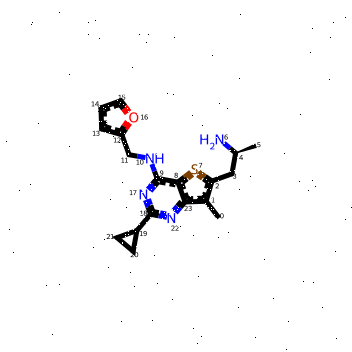 Cc1c(C[C@H](C)N)sc2c(NCc3ccco3)nc(C3CC3)nc12